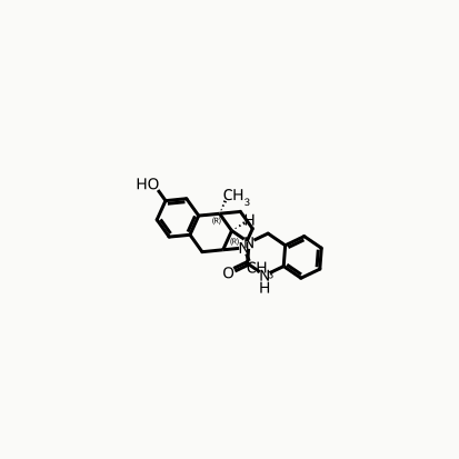 CN1CC[C@]2(C)c3cc(O)ccc3CC1[C@@H]2N1Cc2ccccc2NC1=O